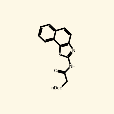 CCCCCCCCCCCC(=O)Nc1nc2ccc3ccccc3c2s1